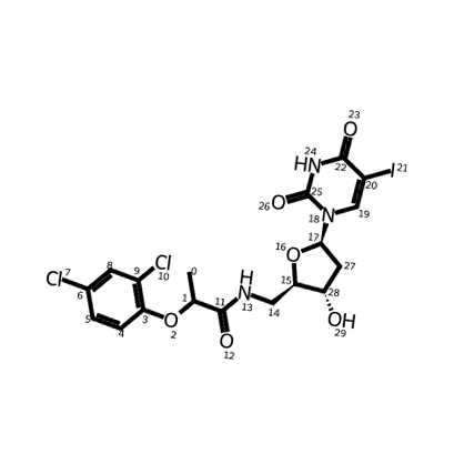 CC(Oc1ccc(Cl)cc1Cl)C(=O)NC[C@H]1O[C@@H](n2cc(I)c(=O)[nH]c2=O)C[C@@H]1O